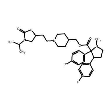 CC(C)N1CC(CCN2CCC(COC(=O)C3(c4ccc(F)cc4)C(c4ccc(F)cc4)CCN3C)CC2)OC1=O